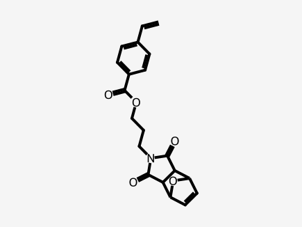 C=Cc1ccc(C(=O)OCCCN2C(=O)C3C4C=CC(O4)C3C2=O)cc1